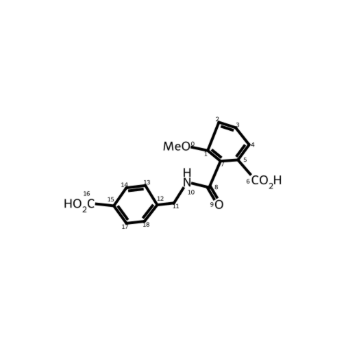 COc1cccc(C(=O)O)c1C(=O)NCc1ccc(C(=O)O)cc1